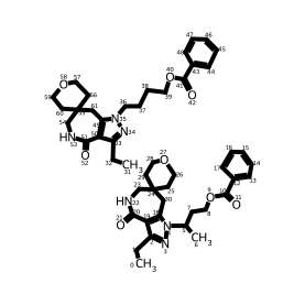 CCc1nn(C(C)CCOC(=O)c2ccccc2)c2c1C(=O)NCC1(CCOCC1)C2.CCc1nn(CCCCOC(=O)c2ccccc2)c2c1C(=O)NCC1(CCOCC1)C2